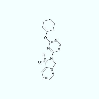 O=S1(=O)c2ccccc2CN1c1ccnc(OC2CCCCC2)n1